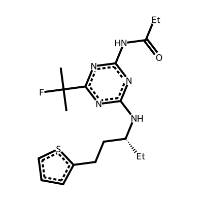 CCC(=O)Nc1nc(N[C@H](CC)CCc2cccs2)nc(C(C)(C)F)n1